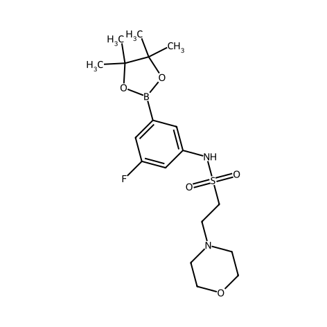 CC1(C)OB(c2cc(F)cc(NS(=O)(=O)CCN3CCOCC3)c2)OC1(C)C